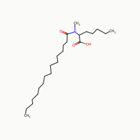 CCCCCCCCCCCCCCCC(=O)N(C)C(CCCCC)C(=O)O